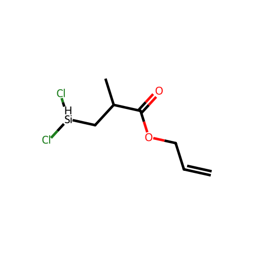 C=CCOC(=O)C(C)C[SiH](Cl)Cl